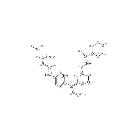 CN(C)Cc1cccc(NC2=CC=C(c3cccc4c3OC(CNC(=O)C3CCOCC3)CO4)NC2)c1